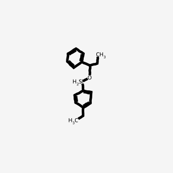 CCc1ccc([SiH2]OC(CC)c2ccccc2)cc1